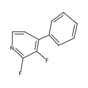 Fc1nccc(-c2ccccc2)c1F